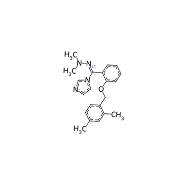 Cc1ccc(COc2ccccc2/C(=N/N(C)C)n2ccnc2)c(C)c1